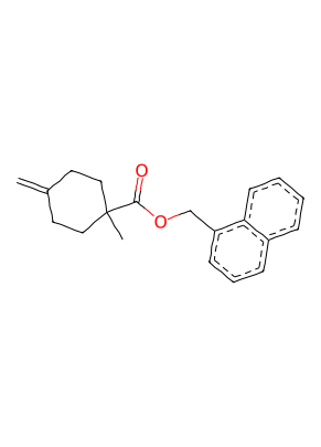 C=C1CCC(C)(C(=O)OCc2cccc3ccccc23)CC1